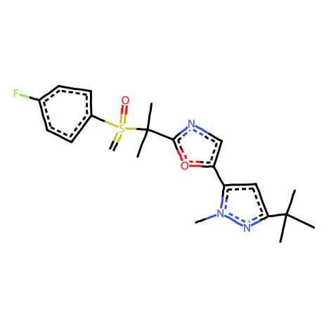 C=S(=O)(c1ccc(F)cc1)C(C)(C)c1ncc(-c2cc(C(C)(C)C)nn2C)o1